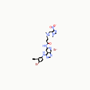 C#Cc1cc(Nc2ncnc3cnc(NC(=O)/C=C/C[N+](C)(C)Cc4c([N+](=O)[O-])ncn4C)cc23)ccc1Br.[Br-]